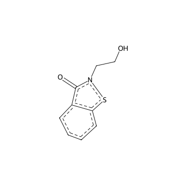 O=c1c2ccccc2sn1CCO